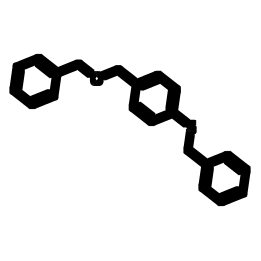 c1ccc(COCc2ccc(SCc3ccccc3)cc2)cc1